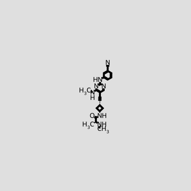 CNc1nc(Nc2cccc(C#N)c2)ncc1C#C[C@H]1C[C@@H](NC(=O)[C@H](C)NC)C1